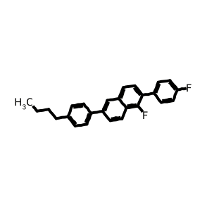 CCCCc1ccc(-c2ccc3c(F)c(-c4ccc(F)cc4)ccc3c2)cc1